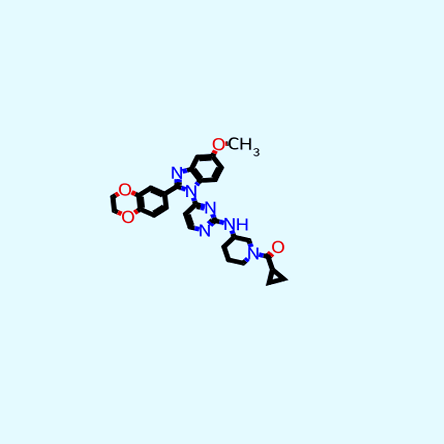 COc1ccc2c(c1)nc(-c1ccc3c(c1)OCCO3)n2-c1ccnc(NC2CCCN(C(=O)C3CC3)C2)n1